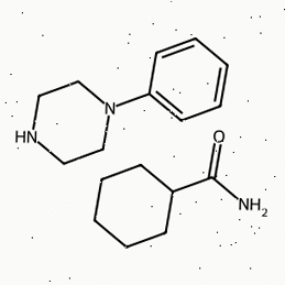 NC(=O)C1CCCCC1.c1ccc(N2CCNCC2)cc1